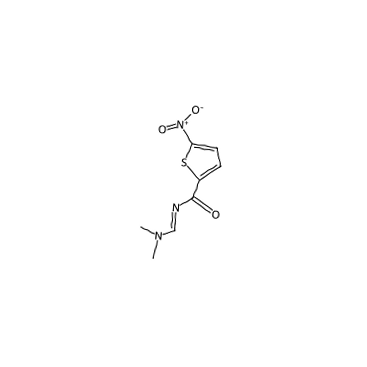 CN(C)C=NC(=O)c1ccc([N+](=O)[O-])s1